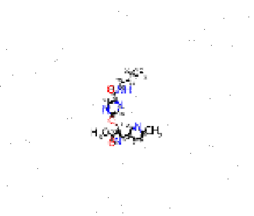 Cc1ccc(-c2noc(C)c2COc2cnc(C(=O)NCCCC(F)(F)F)cn2)cn1